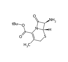 CC1=C(C(=O)OC(C)(C)C)N2C(=O)[C@@H](N)[C@@H]2SC1